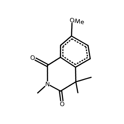 COc1ccc2c(c1)C(=O)N(C)C(=O)C2(C)C